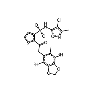 [2H]c1c(C)c(CC(=O)c2sccc2S(=O)(=O)Nc2onc(C)c2Cl)c([2H])c2c1OCO2